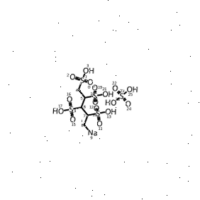 O=S(=O)(O)CC(C(C([CH2][Na])S(=O)(=O)O)S(=O)(=O)O)S(=O)(=O)O.O=S(=O)(O)O